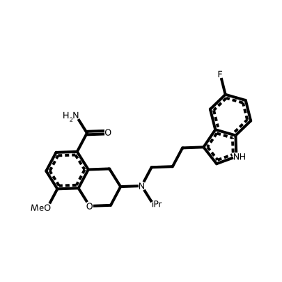 COc1ccc(C(N)=O)c2c1OCC(N(CCCc1c[nH]c3ccc(F)cc13)C(C)C)C2